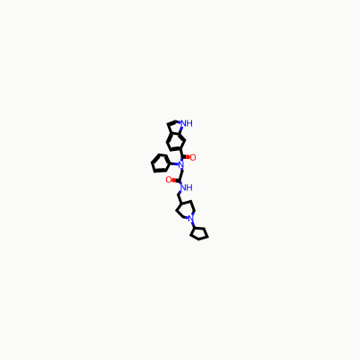 O=C(CN(C(=O)c1ccc2cc[nH]c2c1)c1ccccc1)NCC1CCN(C2CCCC2)CC1